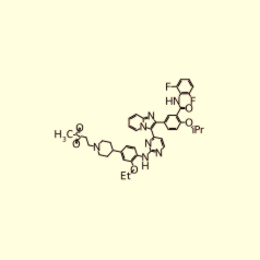 CCOc1cc(C2CCN(CCS(C)(=O)=O)CC2)ccc1Nc1nccc(-c2c(-c3ccc(OC(C)C)c(C(=O)Nc4c(F)cccc4F)c3)nc3ccccn23)n1